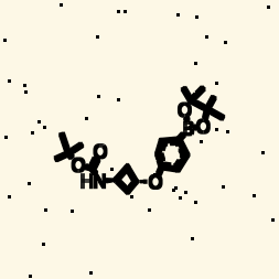 CC(C)(C)OC(=O)N[C@H]1C[C@H](Oc2ccc(B3OC(C)(C)C(C)(C)O3)cc2)C1